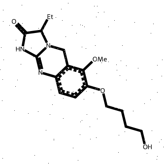 CCC1C(=O)NC2=Nc3ccc(OCCCCO)c(OC)c3CN21